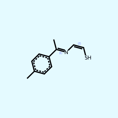 C/C(=N\C=C/S)c1ccc(C)cc1